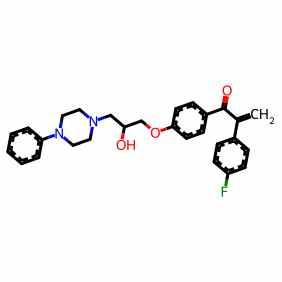 C=C(C(=O)c1ccc(OCC(O)CN2CCN(c3ccccc3)CC2)cc1)c1ccc(F)cc1